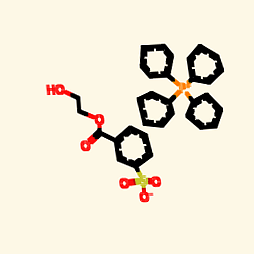 O=C(OCCO)c1cccc(S(=O)(=O)[O-])c1.c1ccc([P+](c2ccccc2)(c2ccccc2)c2ccccc2)cc1